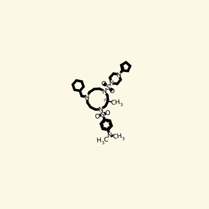 C[C@H]1CN(S(=O)(=O)c2ccc(N(C)C)cc2)CCCN(CC2CCCCC2)CCCN(S(=O)(=O)N2CCN(C3=CCCC3)CC2)C1